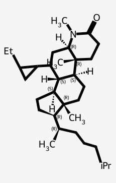 CCC1CC1C1C[C@H]2N(C)C(=O)CC[C@]2(C)[C@H]2CC[C@]3(C)[C@@H]([C@H](C)CCCC(C)C)CC[C@H]3[C@H]12